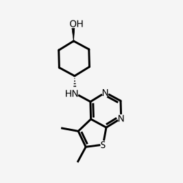 Cc1sc2ncnc(N[C@H]3CC[C@H](O)CC3)c2c1C